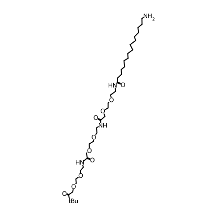 CC(C)(C)C(=O)COCCOCCNC(=O)COCCOCCNC(=O)COCCOCCNC(=O)CCCCCCCCCCCCCCCN